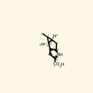 CC1[C@H]2Cc3[nH]c(C(=O)O)cc3[C@@H]12